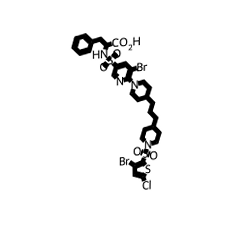 O=C(O)C(Cc1ccccc1)NS(=O)(=O)c1cnc(N2CCC(CCCC3CCN(S(=O)(=O)c4sc(Cl)cc4Br)CC3)CC2)c(Br)c1